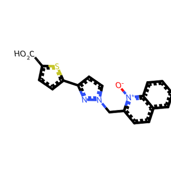 O=C(O)c1ccc(-c2ccn(Cc3ccc4ccccc4[n+]3[O-])n2)s1